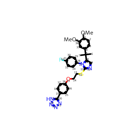 COc1ccc(C(C)(C)c2cnc(SCCOc3ccc(-c4nnn[nH]4)cc3)n2-c2ccc(F)cc2)cc1OC